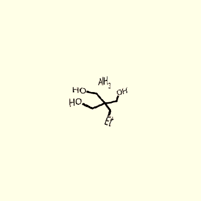 CCC(CO)(CO)CO.[AlH3]